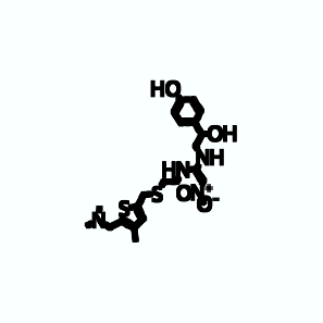 Cc1cc(CSCCNC(=C[N+](=O)[O-])NCC(O)c2ccc(O)cc2)sc1CN(C)C